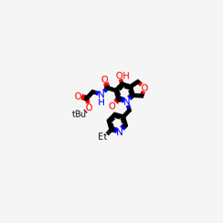 CCc1ccc(Cn2c3c(c(O)c(C(=O)NCC(=O)OC(C)(C)C)c2=O)COC3)cn1